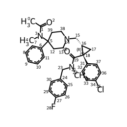 CC(=O)N(C)C1(c2ccccc2)CCN(C[C@@H]2C[C@@]2(C(=O)N(C)Cc2ccc(F)cc2)c2ccc(Cl)cc2)CC1